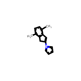 Cc1ccc(C)c2c1C=C(n1cccc1)C2